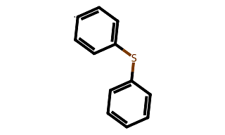 [c]1ccc(Sc2ccccc2)cc1